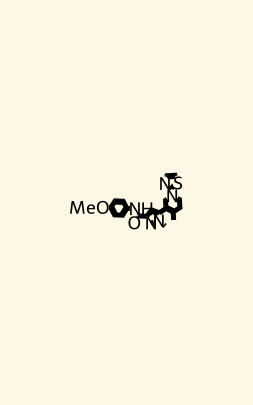 COc1ccc(NC(=O)c2cc(C3=C(C)CCN(c4nccs4)C3)n(C)n2)cc1